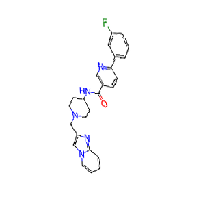 O=C(NC1CCN(Cc2cn3ccccc3n2)CC1)c1ccc(-c2cccc(F)c2)nc1